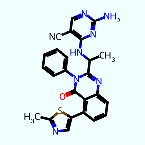 Cc1ncc(-c2cccc3nc(C(C)Nc4nc(N)ncc4C#N)n(-c4ccccc4)c(=O)c23)s1